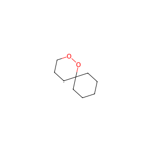 [CH]1CCOOC12CCCCC2